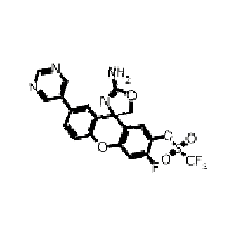 NC1=N[C@@]2(CO1)c1cc(-c3cncnc3)ccc1Oc1cc(F)c(OS(=O)(=O)C(F)(F)F)cc12